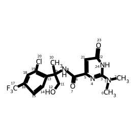 CN(C)c1nc(C(=O)NC(C)(CO)c2ccc(C(F)(F)F)cc2Cl)cc(=O)[nH]1